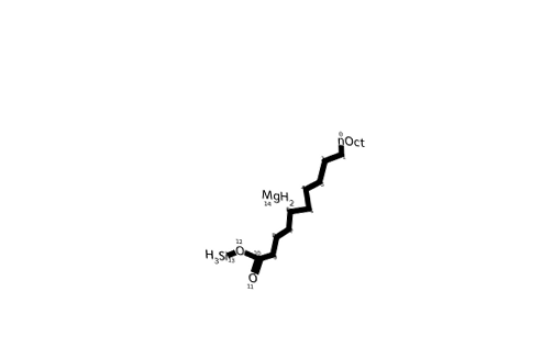 CCCCCCCCCCCCCCCCCC(=O)O[SiH3].[MgH2]